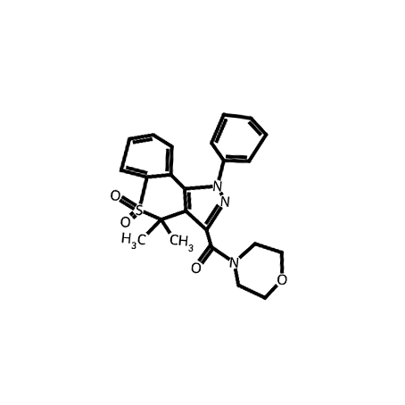 CC1(C)c2c(C(=O)N3CCOCC3)nn(-c3ccccc3)c2-c2ccccc2S1(=O)=O